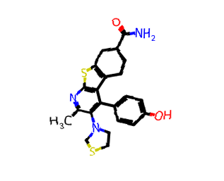 Cc1nc2sc3c(c2c(-c2ccc(O)cc2)c1N1CCSC1)CCC(C(N)=O)C3